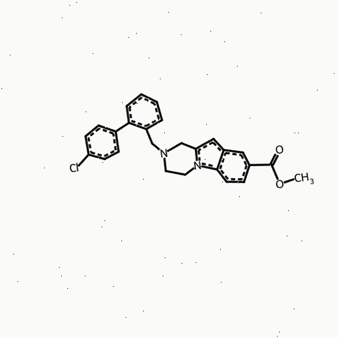 COC(=O)c1ccc2c(c1)cc1n2CCN(Cc2ccccc2-c2ccc(Cl)cc2)C1